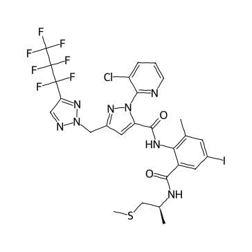 CSC[C@H](C)NC(=O)c1cc(I)cc(C)c1NC(=O)c1cc(Cn2ncc(C(F)(F)C(F)(F)C(F)(F)F)n2)nn1-c1ncccc1Cl